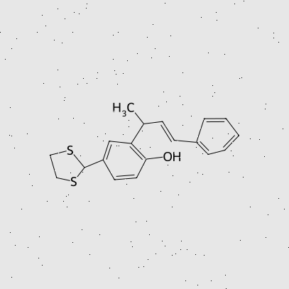 CC(C=Cc1ccccc1)c1cc(C2SCCS2)ccc1O